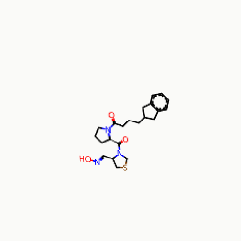 O=C([C@H]1CCCN1C(=O)CCCC1Cc2ccccc2C1)N1CSC[C@H]1C=NO